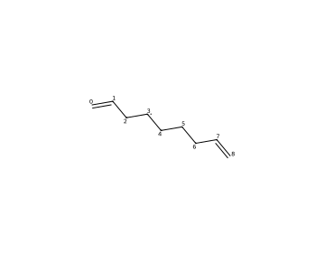 C=CC[CH]CCCC=C